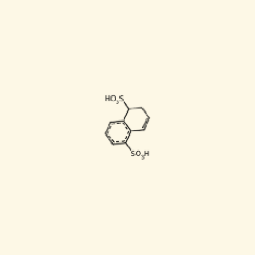 O=S(=O)(O)c1cccc2c1C=CCC2S(=O)(=O)O